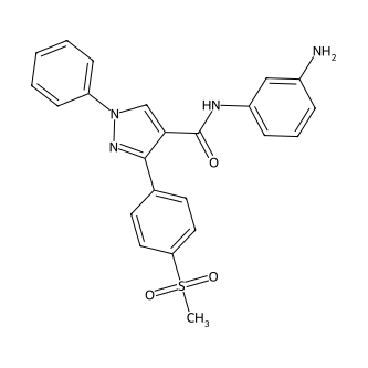 CS(=O)(=O)c1ccc(-c2nn(-c3ccccc3)cc2C(=O)Nc2cccc(N)c2)cc1